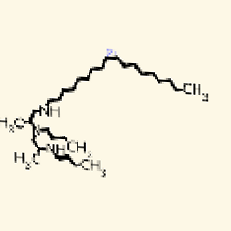 CCC=CNC(C)CN(C=CCC)C(C)CNCCCCCCCC/C=C\CCCCCCCC